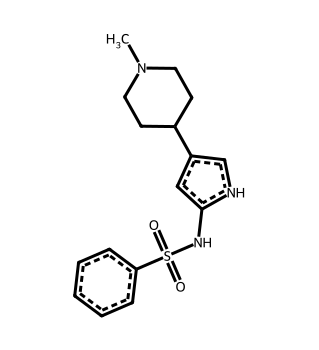 CN1CCC(c2c[nH]c(NS(=O)(=O)c3ccccc3)c2)CC1